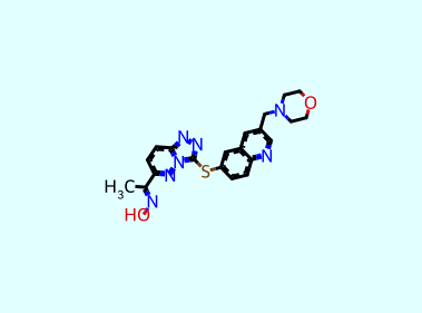 CC(=NO)c1ccc2nnc(Sc3ccc4ncc(CN5CCOCC5)cc4c3)n2n1